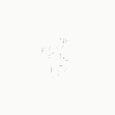 CN(C(=O)c1ccc(Cl)c(F)c1)C1COCc2[nH]c(=O)c3cc(F)c(F)cc3c21